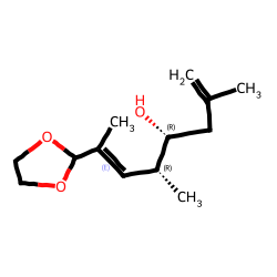 C=C(C)C[C@@H](O)[C@H](C)/C=C(\C)C1OCCO1